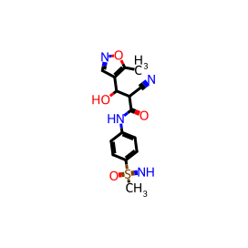 Cc1oncc1C(O)C(C#N)C(=O)Nc1ccc(S(C)(=N)=O)cc1